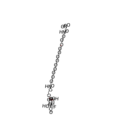 C[C@]12C=CC(=O)C=C1[C@@H](F)C[C@H]1[C@@H]3C[C@H]4O[C@@H](c5ccc(Cc6cccc(NC(=O)CCOCCOCCOCCOCCOCCOCCOCCOCCOCCOCCOCCOCCNC(=O)CCN7C(=O)C=CC7=O)c6)cc5)O[C@@]4(C(=O)CO)[C@@]3(C)C[C@H](O)[C@@]12F